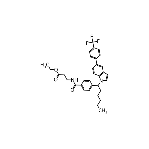 CCCCCC(c1ccc(C(=O)NCCC(=O)OCC)cc1)n1ccc2cc(-c3ccc(C(F)(F)F)cc3)ccc21